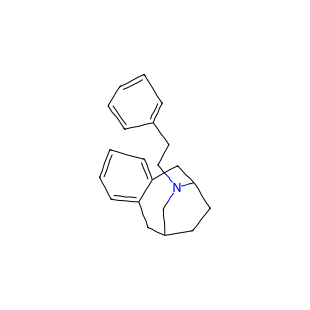 c1ccc(CCN2CC3CCC2Cc2ccccc2C3)cc1